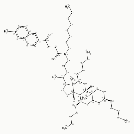 CCCCCCCCN(CCCC(C)C1CC[C@H]2C3[C@H](OCCCN)CC4C[C@H](OCCCN)CCC4(C)[C@H]3C[C@H](OCCCN)C12C)C(=O)CCC(=O)c1ccc2cc(N)ccc2c1